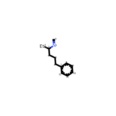 C=NC(CC)CCCc1ccccc1